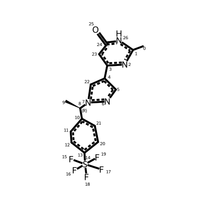 Cc1nc(-c2cnn([C@H](C)c3ccc(S(F)(F)(F)(F)F)cc3)c2)cc(=O)[nH]1